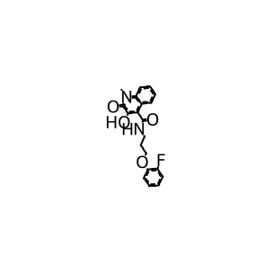 Cn1c(=O)c(O)c(C(=O)NCCCOc2ccccc2F)c2ccccc21